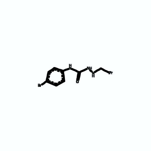 CC(C)CNNC(=O)Nc1ccc(Br)cc1